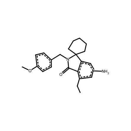 CCc1cc(N)cc2c1C(=O)N(Cc1ccc(OC)cc1)C21CCCCC1